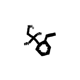 C=Cc1ccccc1C(CN)(CCC)CCC